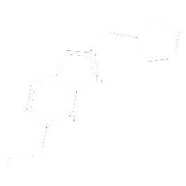 CC(C)Oc1ccc2cn(CC3CCOC3)nc2n1